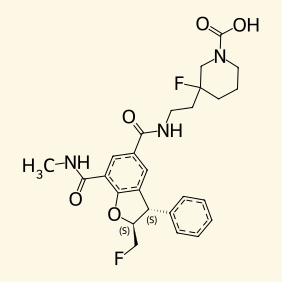 CNC(=O)c1cc(C(=O)NCCC2(F)CCCN(C(=O)O)C2)cc2c1O[C@H](CF)[C@H]2c1ccccc1